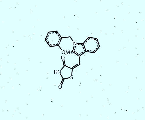 COc1ccccc1Cn1cc(C=C2SC(=O)NC2=O)c2ccccc21